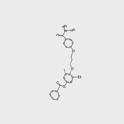 CCCN(CCC)C(=O)c1ccc(OCCCOc2c(C)cc(OC(=O)c3ccccc3)cc2CC)cc1